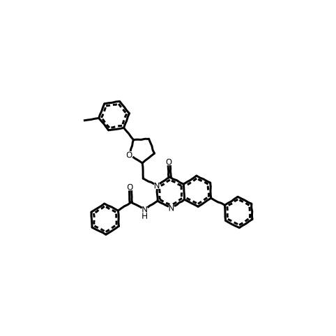 Cc1cccc(C2CCC(Cn3c(NC(=O)c4ccccc4)nc4cc(-c5ccccc5)ccc4c3=O)O2)c1